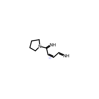 N=C/C=C\C(=N)N1CCCC1